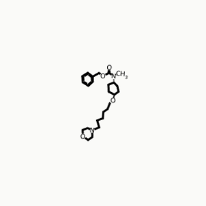 CN(C(=O)OCc1ccccc1)[C@H]1CC[C@H](OCCCCCCN2CCOCC2)CC1